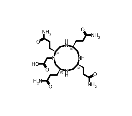 NC(=O)CC[C@H]1CN[C@@H](CCC(N)=O)CN(CC(=O)O)[C@@H](CCC(N)=O)CN[C@@H](CCC(N)=O)CN1